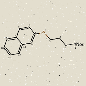 CCCCCCCCCCCCSc1ccc2ccccc2c1